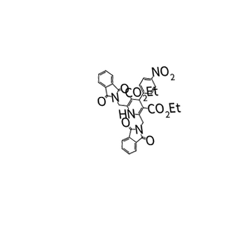 CCOC(=O)C1=C(CN2C(=O)c3ccccc3C2=O)NC(CN2C(=O)c3ccccc3C2=O)=C(C(=O)OCC)C1c1ccc([N+](=O)[O-])cc1